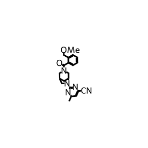 COCc1ccccc1C(=O)N1CC2CC(C1)N(c1nc(C)cc(C#N)n1)C2